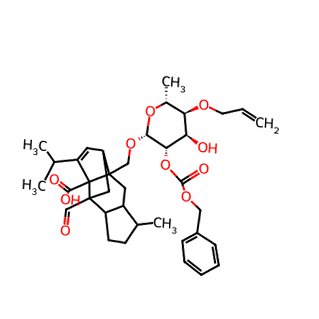 C=CCO[C@H]1[C@@H](O)[C@H](OC(=O)OCc2ccccc2)[C@H](OCC23CC4C(C)CCC4C4(C=O)CC2C=C(C(C)C)C43C(=O)O)O[C@@H]1C